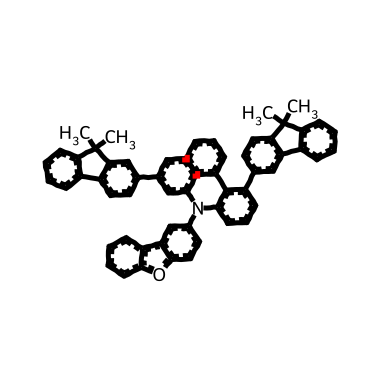 CC1(C)c2ccccc2-c2cc(-c3cccc(N(c4cccc(-c5ccc6c(c5)C(C)(C)c5ccccc5-6)c4)c4ccc5oc6ccccc6c5c4)c3-c3ccccc3)ccc21